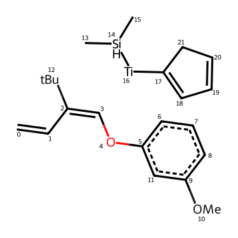 C=CC(=COc1cccc(OC)c1)C(C)(C)C.C[SiH](C)[Ti][C]1=CC=CC1